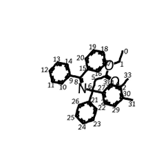 CCOC(=O)CC(N=C(c1ccccc1)c1ccccc1)(c1ccccc1)c1ccc(C)c(C)c1